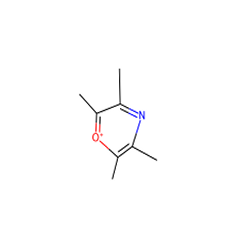 Cc1nc(C)c(C)[o+]c1C